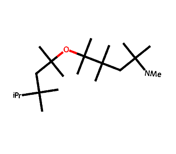 CNC(C)(C)CC(C)(C)C(C)(C)OC(C)(C)CC(C)(C)C(C)C